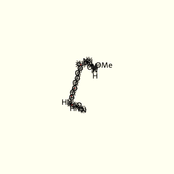 COC[C@H]1CN[C@H](C)CN1CC(=O)N1CC(C)(C)c2ncc(Cc3ccccc3OCCOCCOCCOCCOCCOCCOCCN[C@H](C)c3ccc(C(=O)Nc4ccncc4)cc3)cc21